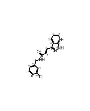 O=C(/C=C/c1n[nH]c2ncccc12)NCc1cccc(Cl)c1